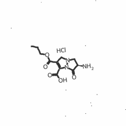 CCCOC(=O)C1=C(C(=O)O)N2C(=O)[C@H](N)CN2C1.Cl